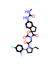 CC[C@H]1CC[C@@H](c2ccc(F)cc2F)N1C(=O)CN1C(=O)OC2(CCc3cc(NC(=O)NC)ccc32)C1=O